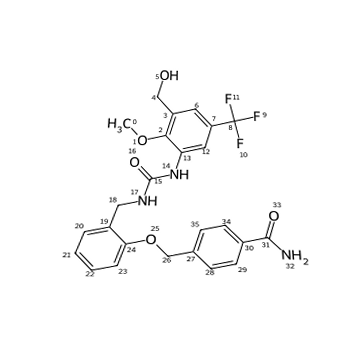 COc1c(CO)cc(C(F)(F)F)cc1NC(=O)NCc1ccccc1OCc1ccc(C(N)=O)cc1